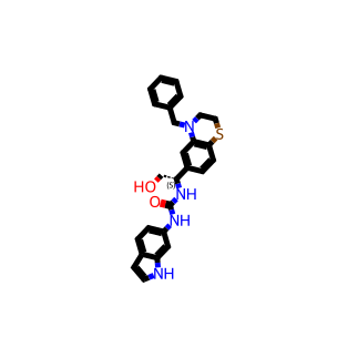 O=C(Nc1ccc2cc[nH]c2c1)N[C@H](CO)c1ccc2c(c1)N(Cc1ccccc1)CCS2